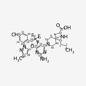 CCCC1NC(C(=O)O)CC12CCN(c1cc(O[C@H](c3ccc(Cl)cc3-n3ccc(C)n3)C(F)(F)F)nc(N)n1)CC2